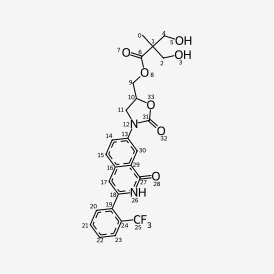 CC(CO)(CO)C(=O)OCC1CN(c2ccc3cc(-c4ccccc4C(F)(F)F)[nH]c(=O)c3c2)C(=O)O1